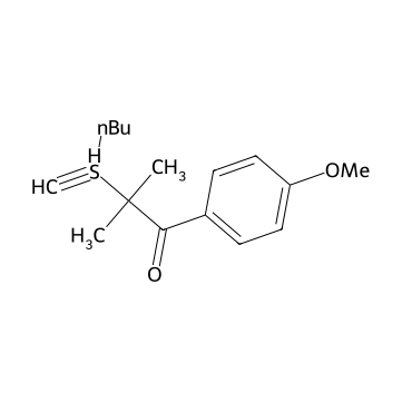 C#[SH](CCCC)C(C)(C)C(=O)c1ccc(OC)cc1